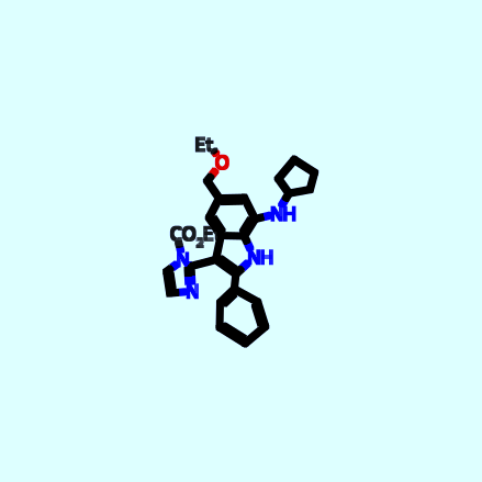 CCOCc1cc(NC2CCCC2)c2[nH]c(-c3ccccc3)c(-c3nccn3C(=O)OCC)c2c1